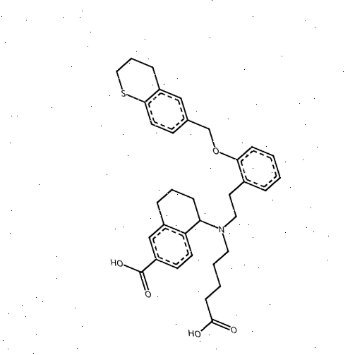 O=C(O)CCCCN(CCc1ccccc1OCc1ccc2c(c1)CCCS2)C1CCCc2cc(C(=O)O)ccc21